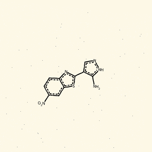 Nc1[nH]ncc1-c1nc2ccc([N+](=O)[O-])cc2s1